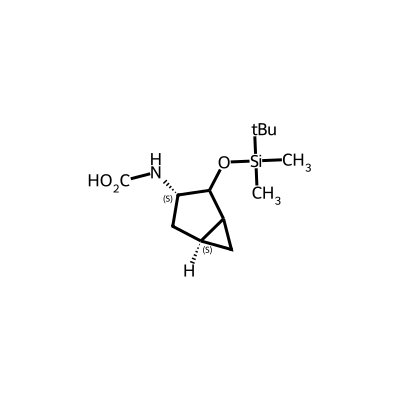 CC(C)(C)[Si](C)(C)OC1C2C[C@H]2C[C@@H]1NC(=O)O